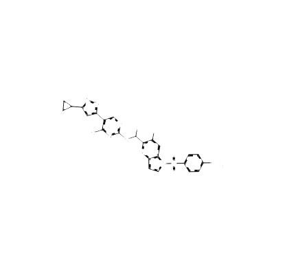 Cc1ccc(S(=O)(=O)n2ccc3nc(C(C)Nc4ncc(-c5cc(C6CC6)[nH]n5)c(N)n4)c(F)cc32)cc1